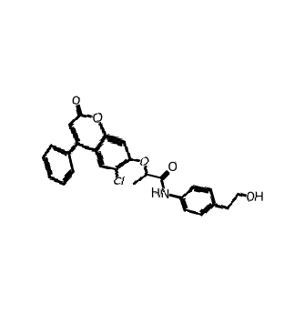 CC(Oc1cc2oc(=O)cc(-c3ccccc3)c2cc1Cl)C(=O)Nc1ccc(CCO)cc1